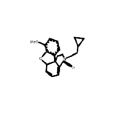 COc1cccc2c1OC1C=CC=C3C(=O)N(CC4CC4)CCC321